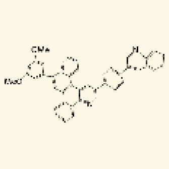 COc1cc(OC)cc(-c2cc3c4ccccc4c4ncc(-c5ccc(-c6cnc7ccccc7c6)cc5)cc4c3c3ccccc23)c1